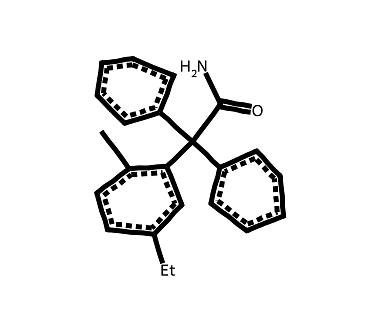 [CH2]Cc1ccc(C)c(C(C(N)=O)(c2ccccc2)c2ccccc2)c1